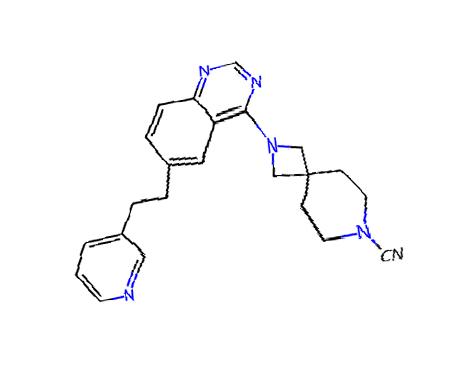 N#CN1CCC2(CC1)CN(c1ncnc3ccc(CCc4cccnc4)cc13)C2